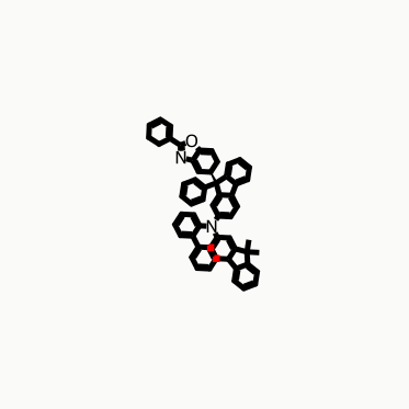 CC1(C)C2=CC(N(c3ccc4c(c3)C(c3ccccc3)([C@H]3C=c5nc(C6=CC=CCC6)oc5=CC3)c3ccccc3-4)c3ccccc3-c3ccccc3)=CCC2c2ccccc21